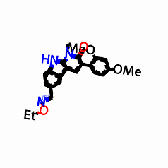 CCO/N=C/c1ccc2[nH]c3c(cc(-c4ccc(OC)cc4OC)c(=O)n3C)c2c1